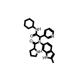 Cc1cc2ccc(N(C(=O)C3CCCN3)C(C(=O)NC3CCCCC3)c3cccnc3)cc2[nH]1